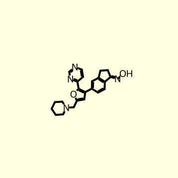 ON=C1CCc2cc(-c3cc(CN4CCCCC4)oc3-c3ccncn3)ccc21